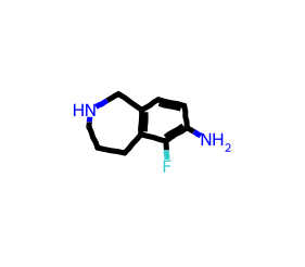 Nc1ccc2c(c1F)CCCNC2